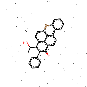 CC(O)c1c(-c2ccccc2)c(=O)c2ccc3c4ccccc4sc4ccc1c2c43